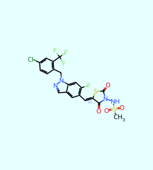 CS(=O)(=O)NN1C(=O)S/C(=C\c2cc3cnn(Cc4ccc(Cl)cc4C(F)(F)F)c3cc2F)C1=O